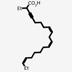 CC/C=C\CCCC/C=C\C/C=C\CCCC#CC(CC)C(=O)O